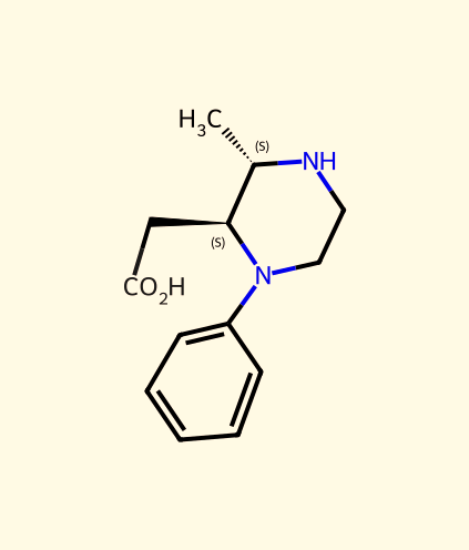 C[C@@H]1NCCN(c2ccccc2)[C@H]1CC(=O)O